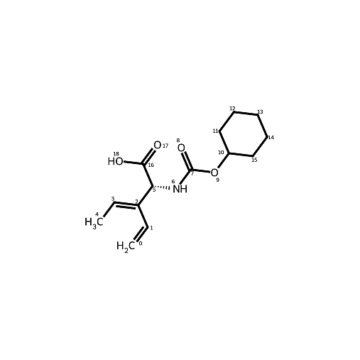 C=C/C(=C\C)[C@@H](NC(=O)OC1CCCCC1)C(=O)O